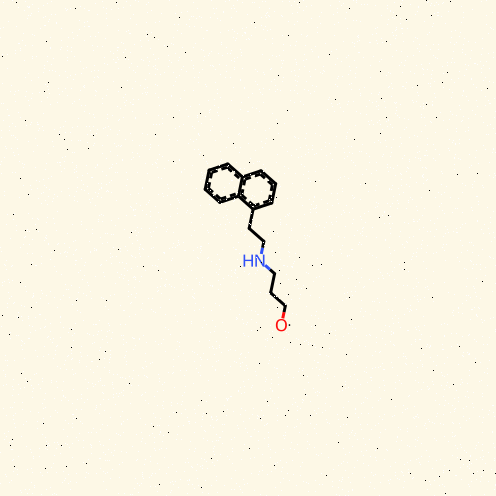 [O]CCCNCCc1cccc2ccccc12